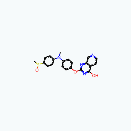 CN(c1ccc(Oc2nc(O)c3ccncc3n2)cc1)c1ccc([S+](C)[O-])cc1